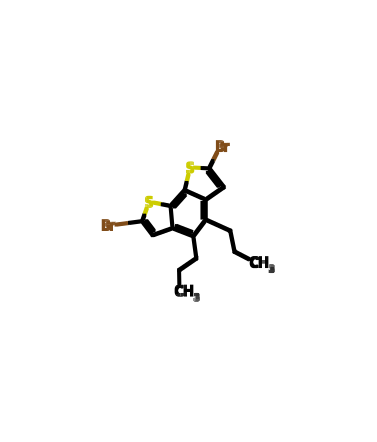 CCCc1c(CCC)c2cc(Br)sc2c2sc(Br)cc12